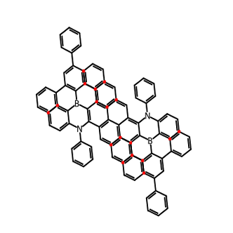 c1ccc(-c2cc(-c3ccccc3)c(B3c4ccccc4N(c4ccccc4)c4c3c(-c3ccccc3)c3ccc5c6c(c(-c7ccccc7)c7ccc4c3c75)B(c3c(-c4ccccc4)cc(-c4ccccc4)cc3-c3ccccc3)c3ccccc3N6c3ccccc3)c(-c3ccccc3)c2)cc1